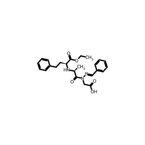 CCOC(=O)[C@H](CCc1ccccc1)N[C@@H](C)C(=O)N(CC(=O)O)N=Cc1ccccc1